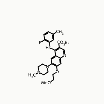 CCOC(=O)c1cnc2cc(OCCOC)c(N3CCN(C)CC3)cc2c1Nc1cc(C)ccc1F